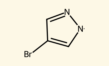 BrC1=C[N]N=C1